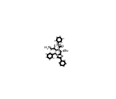 CC(C)(C)[C@H](c1nc(-c2ccccc2)cn1Cc1ccccc1)N(C[C@H](F)CN)C(=O)Nc1ccccc1